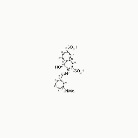 CNc1cccc(N=Nc2c(S(=O)(=O)O)cc3cc(S(=O)(=O)O)ccc3c2O)c1